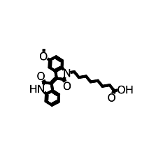 COc1ccc2c(c1)/C(=C1\C(=O)Nc3ccccc31)C(=O)N2CCCCCCCC(=O)O